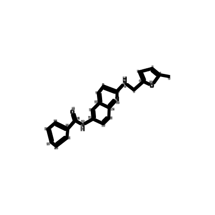 Cc1ccc(CNc2ccc3cc(NC(=O)c4ccccc4)ccc3n2)o1